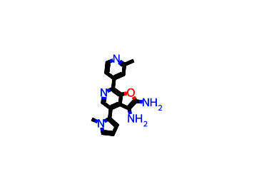 Cc1cc(-c2ncc(-c3cccn3C)c3c(N)c(N)oc23)ccn1